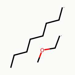 [CH2]CCCCCCC.[CH2]COC